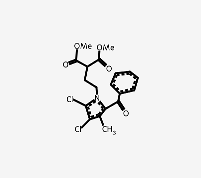 COC(=O)C(CCn1c(Cl)c(Cl)c(C)c1C(=O)c1ccccc1)C(=O)OC